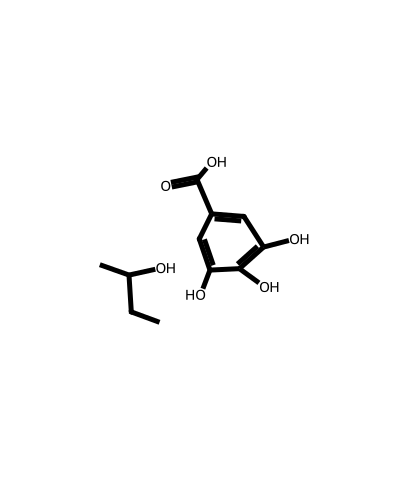 CCC(C)O.O=C(O)c1cc(O)c(O)c(O)c1